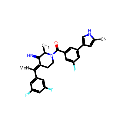 CN/C(=C1/CCN(C(=O)c2cc(F)cc(-c3c[nH]c(C#N)c3)c2)C(C)C1=N)c1cc(F)cc(F)c1